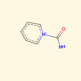 [NH]C(=O)[n+]1ccccc1